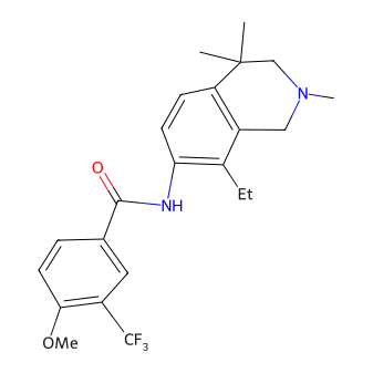 CCc1c(NC(=O)c2ccc(OC)c(C(F)(F)F)c2)ccc2c1CN(C)CC2(C)C